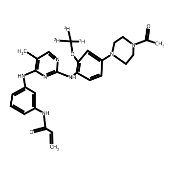 [2H]C([2H])([2H])Oc1cc(N2CCN(C(C)=O)CC2)ccc1Nc1ncc(C)c(Nc2cccc(NC(=O)C=C)c2)n1